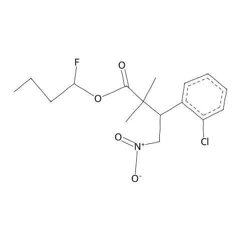 CCCC(F)OC(=O)C(C)(C)C(C[N+](=O)[O-])c1ccccc1Cl